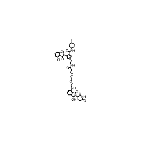 O=C(CCOCCOCCNc1cccc2c1C(=O)N(C1CCC(=O)NC1=O)C2O)NCCn1cc(NC(=O)c2c(Cl)cccc2Cl)c(C(=O)NC2CCNCC2)n1